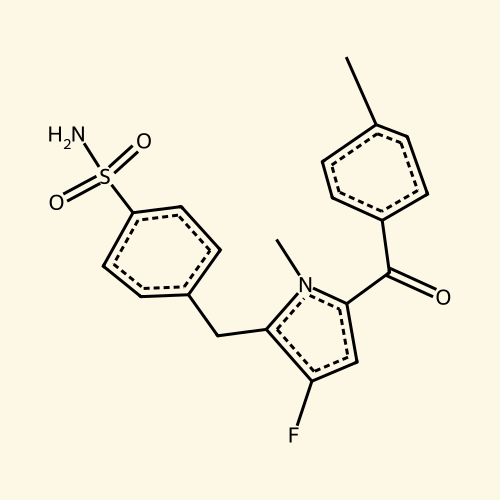 Cc1ccc(C(=O)c2cc(F)c(Cc3ccc(S(N)(=O)=O)cc3)n2C)cc1